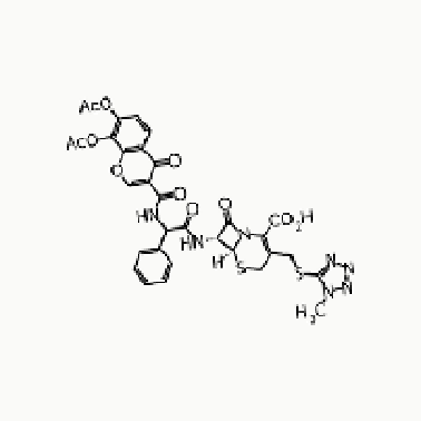 CC(=O)Oc1ccc2c(=O)c(C(=O)NC(C(=O)N[C@@H]3C(=O)N4C(C(=O)O)=C(CSc5nnnn5C)CS[C@@H]34)c3ccccc3)coc2c1OC(C)=O